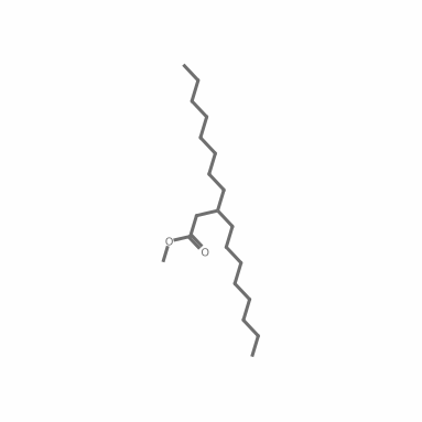 CCCCCCCCC(CCCCCCCC)CC(=O)OC